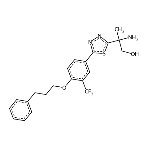 CC(N)(CO)c1nnc(-c2ccc(OCCCc3ccccc3)c(C(F)(F)F)c2)s1